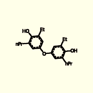 CCCc1cc(Oc2cc(CC)c(O)c(CCC)c2)cc(CC)c1O